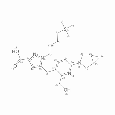 CS(C)(C)CCOCn1nc(C(=O)O)cc1Cc1ccc(N2CC3CC3C2)nc1CO